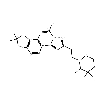 CC1N(CCc2nc3c4ccc5c(c4nc(N)n3n2)OC(F)(F)O5)CCCC1(F)F